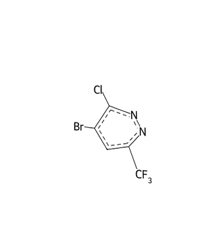 FC(F)(F)c1cc(Br)c(Cl)nn1